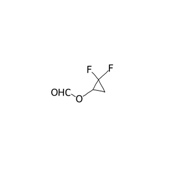 O=COC1CC1(F)F